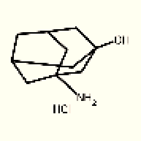 Cl.NC12CC3CC(C1)CC(O)(C3)C2